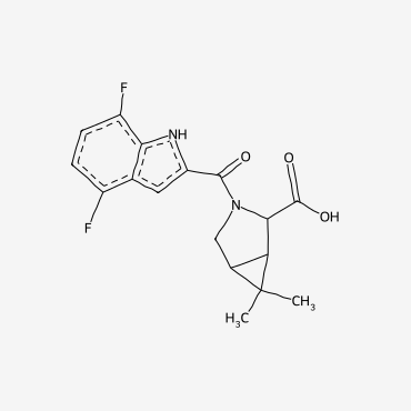 CC1(C)C2CN(C(=O)c3cc4c(F)ccc(F)c4[nH]3)C(C(=O)O)C21